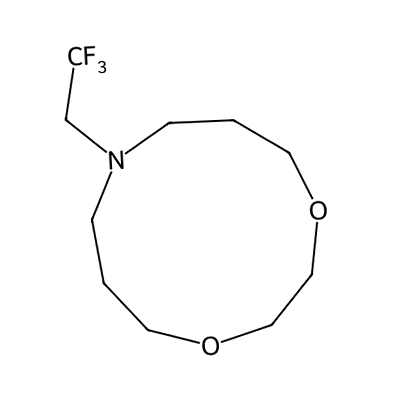 FC(F)(F)CN1CCCOCCOCCC1